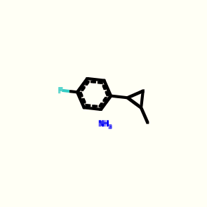 CC1CC1c1ccc(F)cc1.N